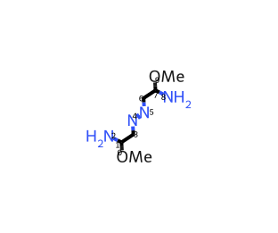 COC(N)CN=NCC(N)OC